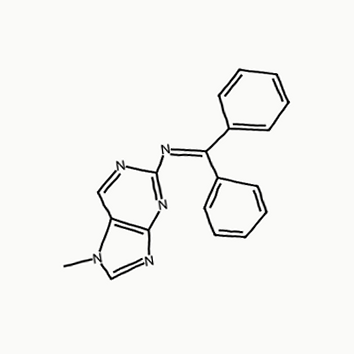 Cn1cnc2nc(N=C(c3ccccc3)c3ccccc3)ncc21